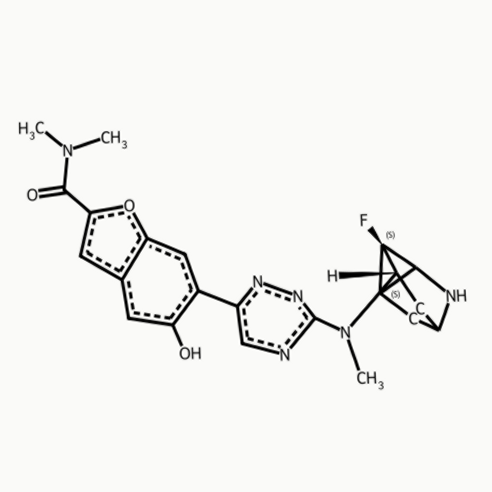 CN(C)C(=O)c1cc2cc(O)c(-c3cnc(N(C)[C@H]4CC5CC6C(N5)[C@@]64F)nn3)cc2o1